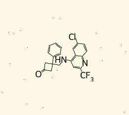 O=C1CC(CNc2cc(C(F)(F)F)nc3ccc(Cl)cc23)(c2ccccc2)C1